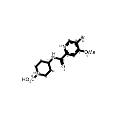 COc1cc(C(=O)NC2CCN(C(=O)O)CC2)ncc1Br